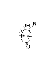 CO[C@H]1CC[C@H]2C(C)(C)C(O)C(C#N)=C[C@]2(C)C1